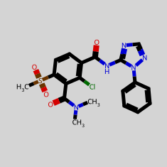 CN(C)C(=O)c1c(S(C)(=O)=O)ccc(C(=O)Nc2ncnn2-c2ccccc2)c1Cl